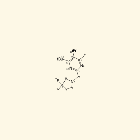 Cc1nc(CN2CCC(C)(F)C2)nc(C(C)(C)C)c1C(C)C